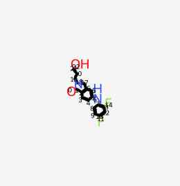 O=C1c2ccc(Nc3ccc(F)cc3F)cc2CN1CCCO